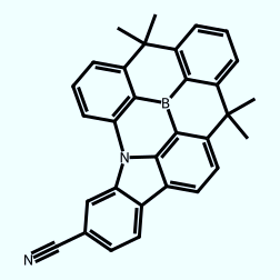 CC1(C)c2cccc3c2B2c4c1cccc4C(C)(C)c1ccc4c5ccc(C#N)cc5n-3c4c12